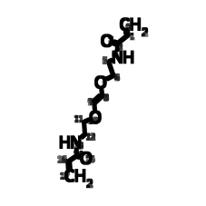 C=CC(=O)NCCOC=COCCNC(=O)C=C